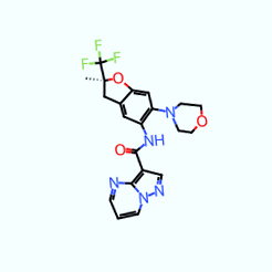 C[C@@]1(C(F)(F)F)Cc2cc(NC(=O)c3cnn4cccnc34)c(N3CCOCC3)cc2O1